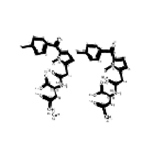 Cc1ccc(C(=O)c2ccc(CC(=O)N[C@@H](CC(=O)O)C(=O)[O-])n2C)cc1.Cc1ccc(C(=O)c2ccc(CC(=O)N[C@@H](CC(=O)O)C(=O)[O-])n2C)cc1.[Ca+2]